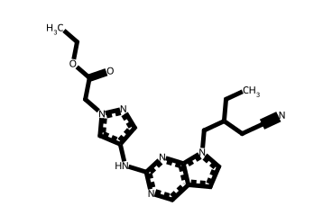 CCOC(=O)Cn1cc(Nc2ncc3ccn(CC(CC)CC#N)c3n2)cn1